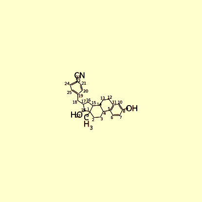 CC12CCC3c4ccc(O)cc4CCC3C1CC(Cc1ccc(C#N)cc1)C2O